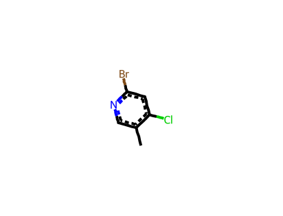 Cc1cnc(Br)cc1Cl